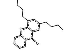 CCCCc1cc(CCCC)c2oc3ccccc3c(=O)c2c1